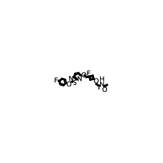 CC(=O)N[C@@H](C)CO[C@H]1C[C@](F)(COc2ccc3nc(OC4=CCC(F)C=C4)sc3n2)C1